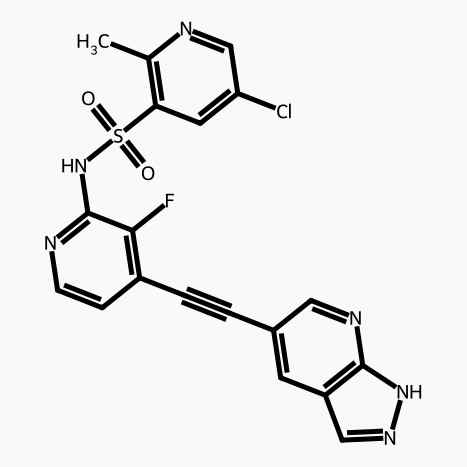 Cc1ncc(Cl)cc1S(=O)(=O)Nc1nccc(C#Cc2cnc3[nH]ncc3c2)c1F